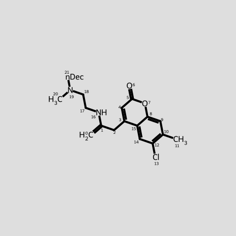 C=C(Cc1cc(=O)oc2cc(C)c(Cl)cc12)NCCN(C)CCCCCCCCCC